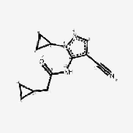 N#Cc1cnn(C2CC2)c1NC(=O)CC1CC1